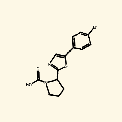 O=C(O)N1CCCC1c1ncc(-c2ccc(Br)cc2)s1